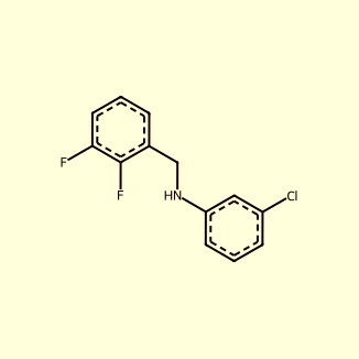 Fc1cccc(CNc2cccc(Cl)c2)c1F